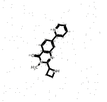 Cn1c(C2CCN2)nc2cc(-c3ccccn3)ccc2c1=O